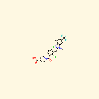 Cc1cc(C(F)(F)F)cc2c1nc(Cc1c(Cl)ccc(C(=O)N3CCC(C(=O)O)CC3)c1Cl)n2C